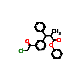 CC(C(=O)Oc1ccccc1)C(c1ccccc1)c1cccc(C(=O)CCl)c1